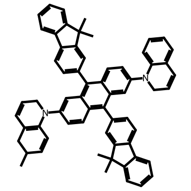 CC1C=CC2=C(C=CCN2c2ccc3c(-c4ccc5c(c4)C(C)(C)c4ccccc4-5)c4cc(N5CC=Cc6ccccc65)ccc4c(-c4ccc5c(c4)C(C)(C)c4ccccc4-5)c3c2)C1